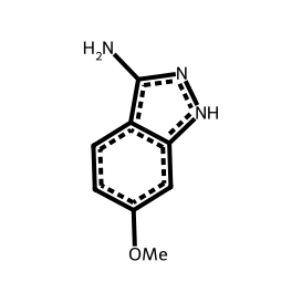 COc1ccc2c(N)n[nH]c2c1